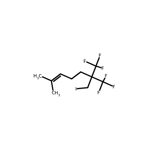 CC(C)=CCCC(CI)(C(F)(F)F)C(F)(F)F